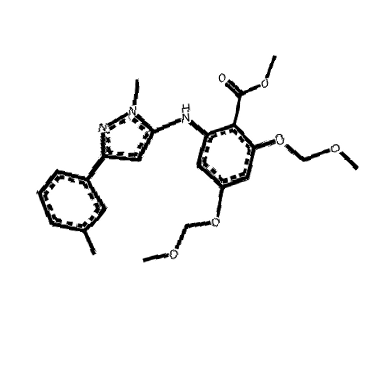 COCOc1cc(Nc2cc(-c3cccc(C)c3)nn2C)c(C(=O)OC)c(OCOC)c1